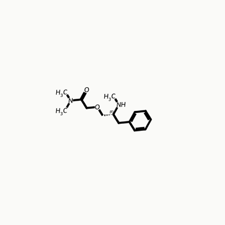 CN[C@@H](COCC(=O)N(C)C)Cc1ccccc1